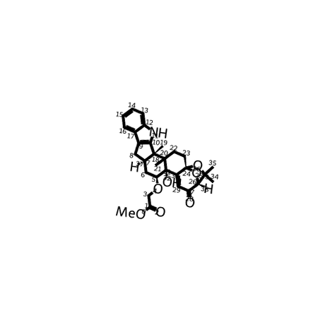 COC(=O)CO[C@H]1C[C@H]2Cc3c([nH]c4ccccc34)[C@]2(C)C2(C)CC[C@@]34O[C@@H](C(=O)C=C3[C@]12O)C(C)(C)O4